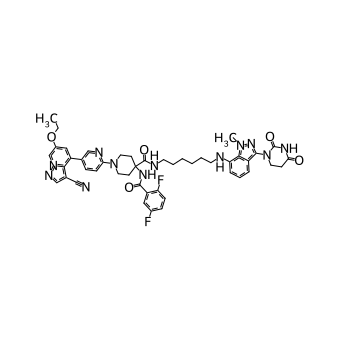 CCOc1cc(-c2ccc(N3CCC(NC(=O)c4cc(F)ccc4F)(C(=O)NCCCCCCNc4cccc5c(N6CCC(=O)NC6=O)nn(C)c45)CC3)nc2)c2c(C#N)cnn2c1